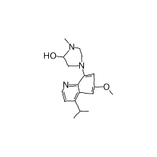 COc1cc(N2CCN(C)C(O)C2)c2nccc(C(C)C)c2c1